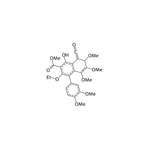 CCOc1c(C(=O)OC)c(O)c2c(c1-c1ccc(OC)c(OC)c1)C(OC)=C(OC)C(OC)C2=C=O